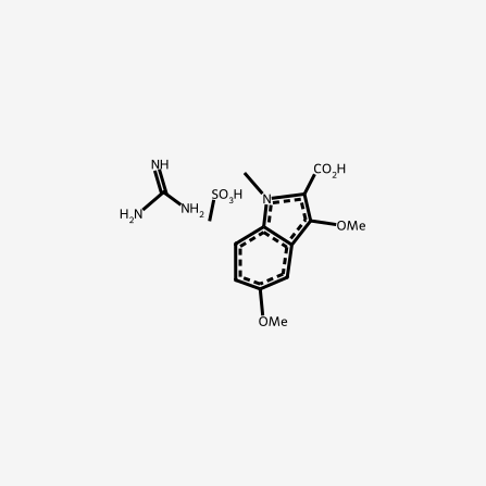 COc1ccc2c(c1)c(OC)c(C(=O)O)n2C.CS(=O)(=O)O.N=C(N)N